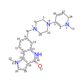 CN1C=C(N2CCN(Cc3ccc4c(c3)[nH]c(=O)c3ccn(C)c34)CC2)C=CC1